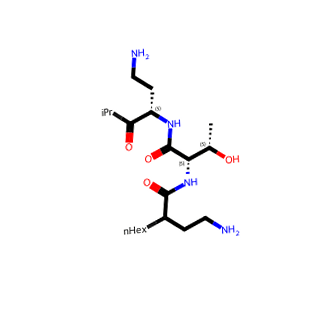 CCCCCCC(CCN)C(=O)N[C@H](C(=O)N[C@@H](CCN)C(=O)C(C)C)[C@H](C)O